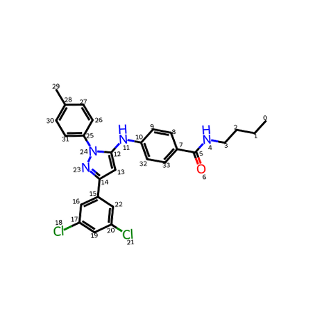 CCCCNC(=O)c1ccc(Nc2cc(-c3cc(Cl)cc(Cl)c3)nn2-c2ccc(C)cc2)cc1